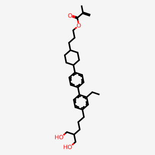 C=C(C)C(=O)OCCCC1CCC(c2ccc(-c3ccc(CCCC(CO)CO)cc3CC)cc2)CC1